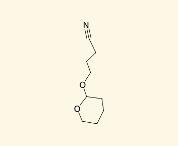 N#CCCCOC1CCCCO1